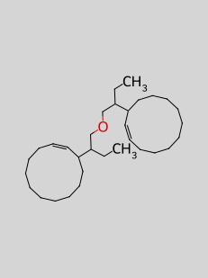 CCC(COCC(CC)C1C=CCCCCCCCCC1)C1C=CCCCCCCCCC1